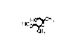 CC(CO)OC(C)COO